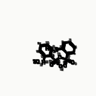 O=S(=O)(O)c1ccccc1S(=O)(=O)OS(=O)(=O)c1ccccc1S(=O)(=O)O